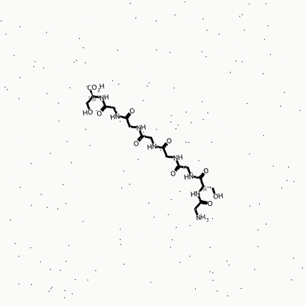 NCC(=O)N[C@@H](CO)C(=O)NCC(=O)NCC(=O)NCC(=O)NCC(=O)NCC(=O)N[C@@H](CO)C(=O)O